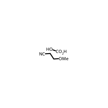 COCCC#N.O=C(O)O